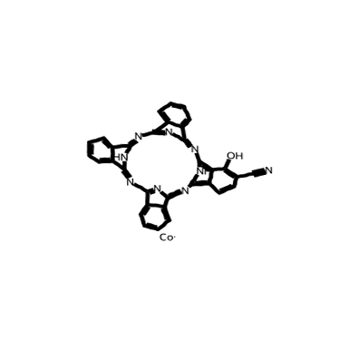 N#Cc1ccc2c3nc4nc(nc5[nH]c(nc6nc(nc([nH]3)c2c1O)-c1ccccc1-6)c1ccccc51)-c1ccccc1-4.[Co]